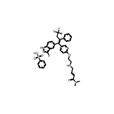 CN(C)C(=O)/C=C/CNCCOc1ccc(/C(=C(/CC(F)(F)F)c2ccccc2)c2ccc3[nH]nc(F)c3c2)cn1.O=S(=O)(O)c1ccccc1